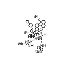 CNC(=N)NCCC[C@@H](NC(=O)[C@@H](CCCCNC(=O)OC(C)(C)C)NC(=O)COc1ccc2ccccc2c1-c1c(OCCC(C)C)ccc2ccccc12)C(=O)N[C@@H](CC(C)C)C(=O)OCc1ccc(Cl)cc1